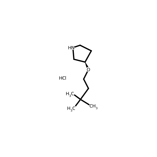 CC(C)(C)CCO[C@@H]1CCNC1.Cl